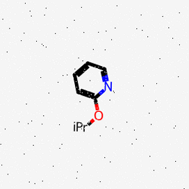 [CH2]C(C)Oc1ccccn1